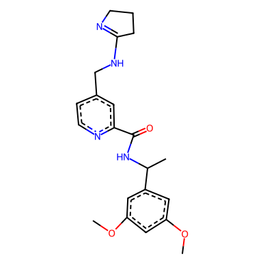 COc1cc(OC)cc(C(C)NC(=O)c2cc(CNC3=NCCC3)ccn2)c1